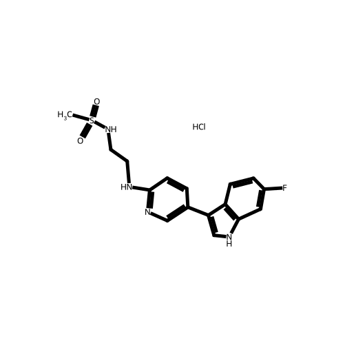 CS(=O)(=O)NCCNc1ccc(-c2c[nH]c3cc(F)ccc23)cn1.Cl